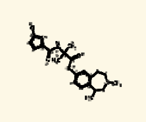 CC1CN(C)CCc2cc(NC(=O)C(C)(C)NC(=O)c3ccc(Cl)s3)ccc21